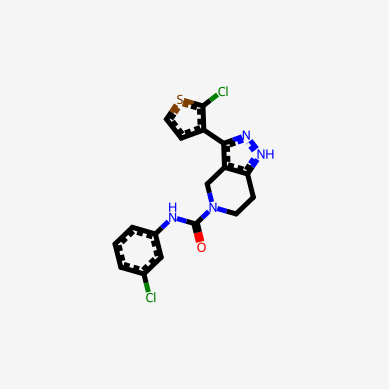 O=C(Nc1cccc(Cl)c1)N1CCc2[nH]nc(-c3ccsc3Cl)c2C1